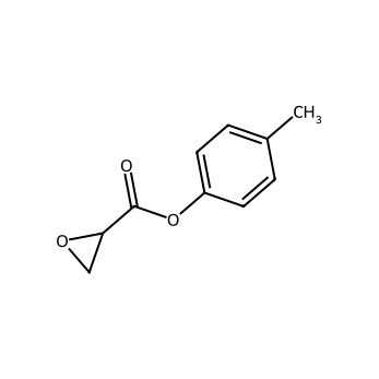 Cc1ccc(OC(=O)C2CO2)cc1